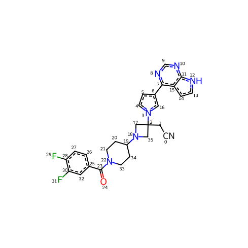 N#CCC1(n2ccc(-c3ncnc4[nH]ccc34)c2)CN(C2CCN(C(=O)c3ccc(F)c(F)c3)CC2)C1